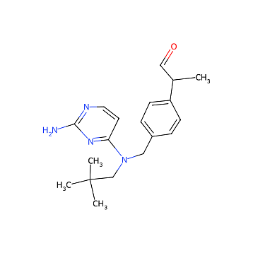 CC(C=O)c1ccc(CN(CC(C)(C)C)c2ccnc(N)n2)cc1